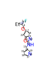 CC/C(=C/F)COc1ccc2nc(NCc3cccnc3)oc2c1